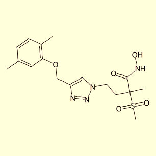 Cc1ccc(C)c(OCc2cn(CCC(C)(C(=O)NO)S(C)(=O)=O)nn2)c1